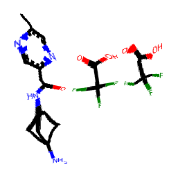 Cc1cnc(C(=O)NC23CC(N)(C2)C3)cn1.O=C(O)C(F)(F)F.O=C(O)C(F)(F)F